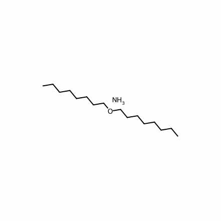 CCCCCCCCOCCCCCCCC.N